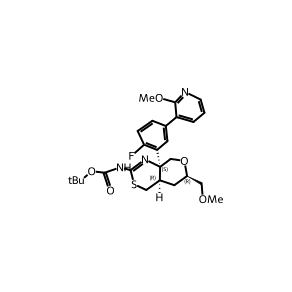 COC[C@H]1C[C@H]2CSC(NC(=O)OC(C)(C)C)=N[C@@]2(c2cc(-c3cccnc3OC)ccc2F)CO1